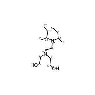 CCC(C)N(CCN(CCO)CCO)C(C)CC